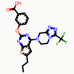 CCCc1cc2c(N3CCn4c(nnc4C(F)(F)F)C3)nc(Oc3cccc(C(=O)O)c3)nc2s1